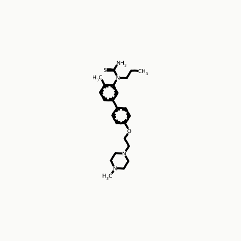 CCCN(C(N)=S)c1cc(-c2ccc(OCCN3CCN(C)CC3)cc2)ccc1C